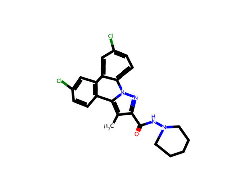 Cc1c(C(=O)NN2CCCCC2)nn2c3ccc(Cl)cc3c3cc(Cl)ccc3c12